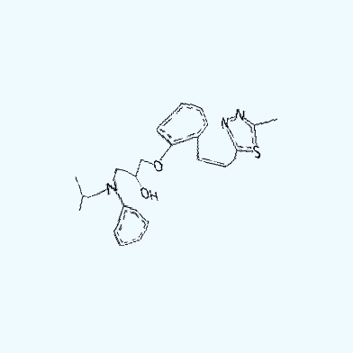 Cc1nnc(/C=C\c2ccccc2OCC(O)CN(c2ccccc2)C(C)C)s1